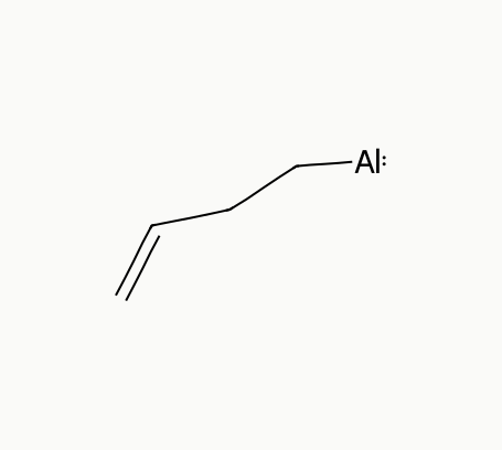 C=CC[CH2][Al]